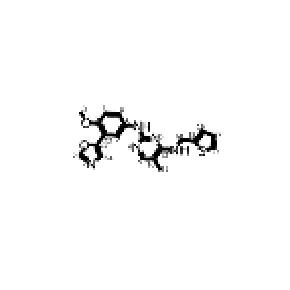 COc1ccc(Nc2ncc(C)c(NCc3cccs3)n2)cc1-c1cnco1